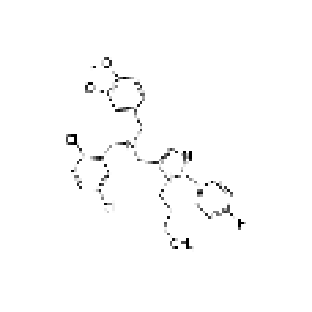 CCCCn1c(CN(Cc2ccc3c(c2)OCO3)Cc2cc(Cl)ccc2Cl)cnc1-c1ccc(F)cc1